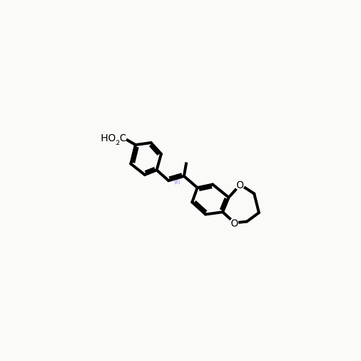 C/C(=C\c1ccc(C(=O)O)cc1)c1ccc2c(c1)OCCCO2